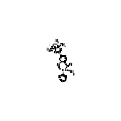 CN1C(=O)c2ccc(B3OC(C)(C)C(C)(C)O3)cc2OCC1c1ccccc1